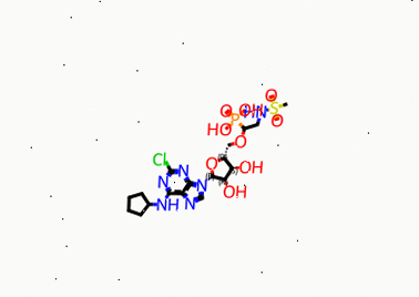 CS(=O)(=O)NCC(OC[C@H]1O[C@@H](n2cnc3c(NC4CCCC4)nc(Cl)nc32)[C@H](O)[C@@H]1O)P(=O)(O)O